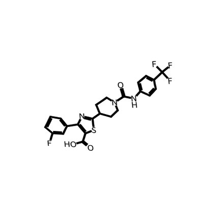 O=C(O)c1sc(C2CCN(C(=O)Nc3ccc(C(F)(F)F)cc3)CC2)nc1-c1cccc(F)c1